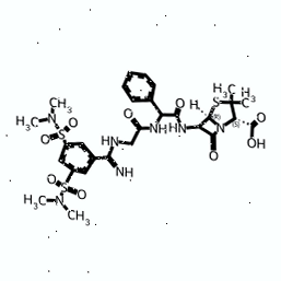 CN(C)S(=O)(=O)c1cc(C(=N)NCC(=O)NC(C(=O)NC2C(=O)N3[C@@H]2SC(C)(C)[C@@H]3C(=O)O)c2ccccc2)cc(S(=O)(=O)N(C)C)c1